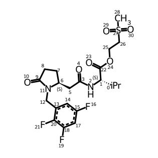 CC(C)[C@H](NC(=O)C[C@@H]1CCC(=O)N1Cc1cc(F)cc(F)c1F)C(=O)OCCS(C)(=O)=O